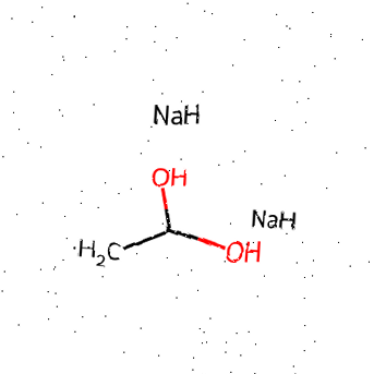 [CH2]C(O)O.[NaH].[NaH]